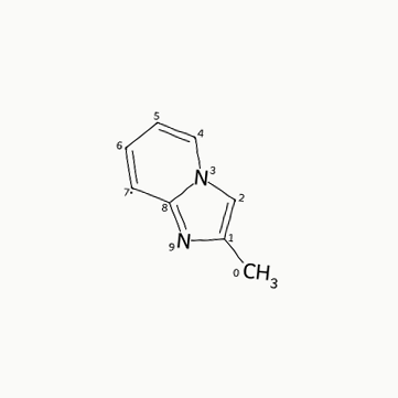 Cc1cn2ccc[c]c2n1